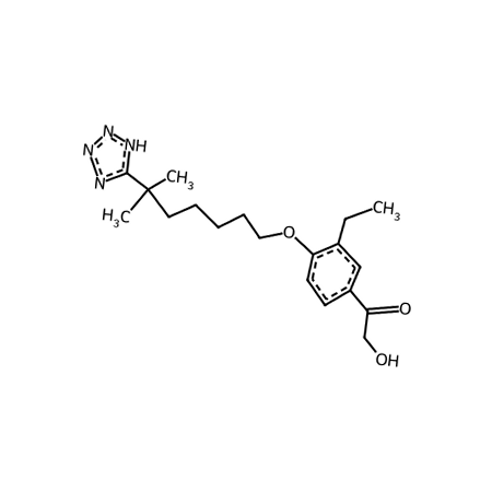 CCc1cc(C(=O)CO)ccc1OCCCCCC(C)(C)c1nnn[nH]1